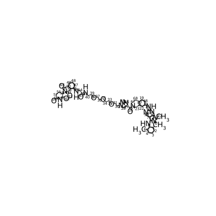 Cc1cccc(C)c1Nc1nn(C)c2nc(Nc3ccc4c(c3)CN(C(=O)c3cn(CCOCCOCCOCCNC(=O)CNc5cccc6c5C(=O)N(C5CCC(=O)NC5=O)C6=O)nn3)CC4)ncc12